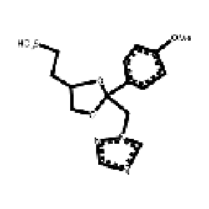 COc1ccc(C2(Cn3cncn3)OCC(CCS(=O)(=O)O)O2)cc1